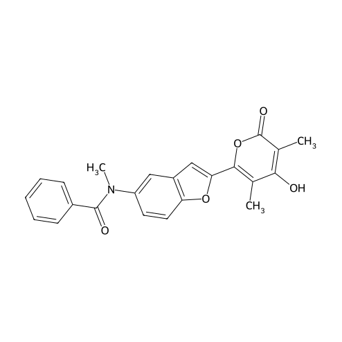 Cc1c(-c2cc3cc(N(C)C(=O)c4ccccc4)ccc3o2)oc(=O)c(C)c1O